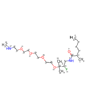 CCCCC(C)C(=O)NCC(F)C(C)(C)OCCOCCOCCOCCNC